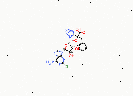 Nc1nc(Cl)nc2c1ncn2[C@@H]1O[C@H](COC(Cc2ccccc2)(C(=O)O)c2nn[nH]n2)[C@H](O)[C@H]1O